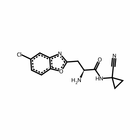 N#CC1(NC(=O)[C@@H](N)Cc2nc3cc(Cl)ccc3o2)CC1